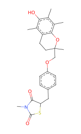 Cc1c(C)c2c(c(C)c1O)CCC(C)(COc1ccc(CC3SC(=O)N(C)C3=O)cc1)O2